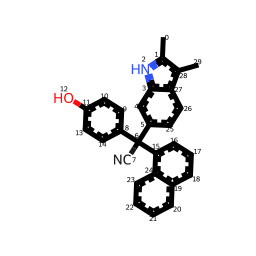 Cc1[nH]c2cc(C(C#N)(c3ccc(O)cc3)c3cccc4ccccc34)ccc2c1C